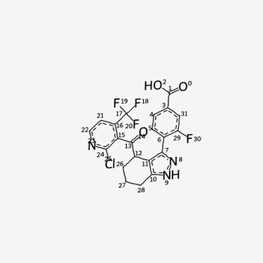 O=C(O)c1ccc(-c2n[nH]c3c2C(C(=O)c2c(C(F)(F)F)ccnc2Cl)CCC3)c(F)c1